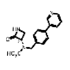 O=C1NC[C@@H]1N(Cc1ccc(-c2cccnc2)cc1)C(=O)O